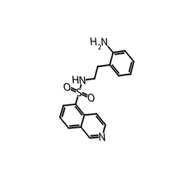 Nc1ccccc1CCNS(=O)(=O)c1cccc2cnccc12